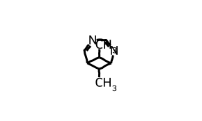 CC1C2C=NC=NC1C2C